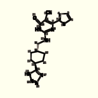 N#Cc1c(-c2cccs2)nc(NC[C@H]2CC[C@H](c3nnn[nH]3)CC2)[nH]c1=O